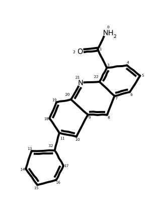 NC(=O)c1cccc2cc3cc(-c4ccccc4)ccc3nc12